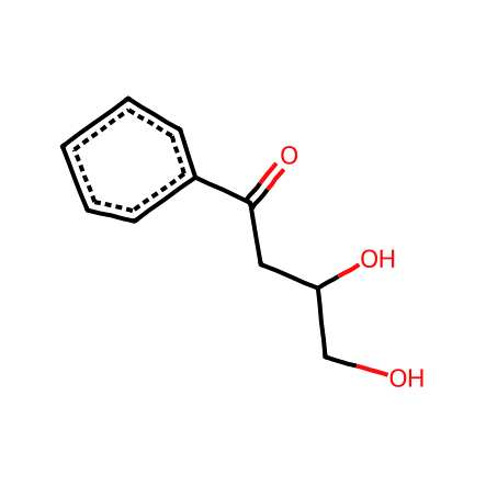 O=C(CC(O)CO)c1ccccc1